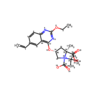 C=Cc1ccc2nc(OCC)nc(O[C@@H]3C[C@@](C)(C(=O)O)[N+](C(=O)[O-])(C(C)(C)C)C3)c2c1